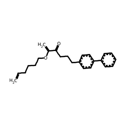 C=CCCCCOC(=C)C(=O)CCCc1ccc(-c2ccccc2)cc1